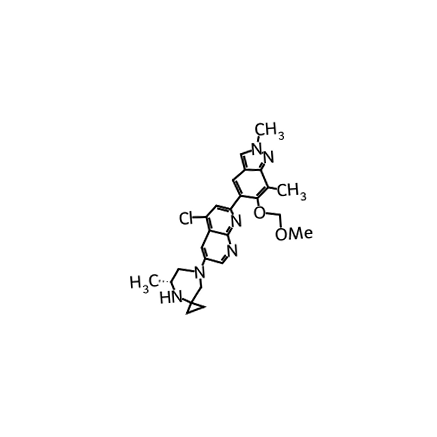 COCOc1c(-c2cc(Cl)c3cc(N4C[C@@H](C)NC5(CC5)C4)cnc3n2)cc2cn(C)nc2c1C